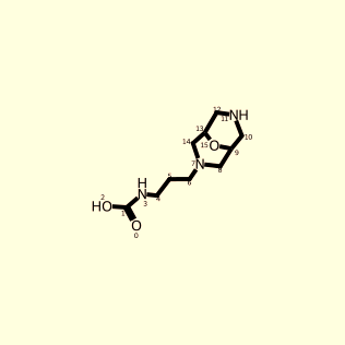 O=C(O)NCCCN1CC2CNCC(C1)O2